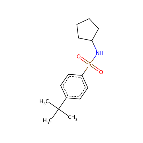 CC(C)(C)c1ccc(S(=O)(=O)NC2CCCC2)cc1